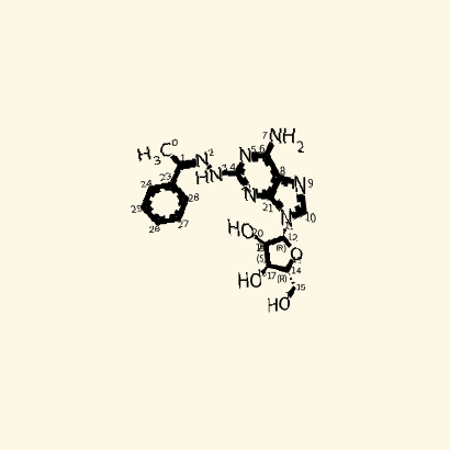 CC(=NNc1nc(N)c2ncn([C@@H]3O[C@H](CO)[C@@H](O)[C@H]3O)c2n1)c1ccccc1